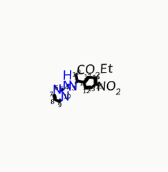 CCOC(=O)C/C(=N\Nc1ncccn1)c1ccc([N+](=O)[O-])cc1